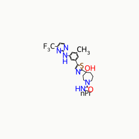 CCCNC(=O)N1CCCC(O)(c2ncc(-c3cc(C)cc(Nc4nccc(C(F)(F)F)n4)c3)s2)CC1